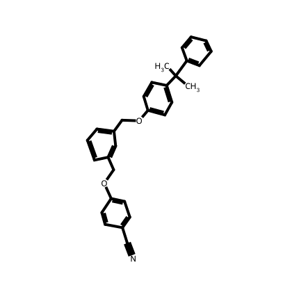 CC(C)(c1ccccc1)c1ccc(OCc2cccc(COc3ccc(C#N)cc3)c2)cc1